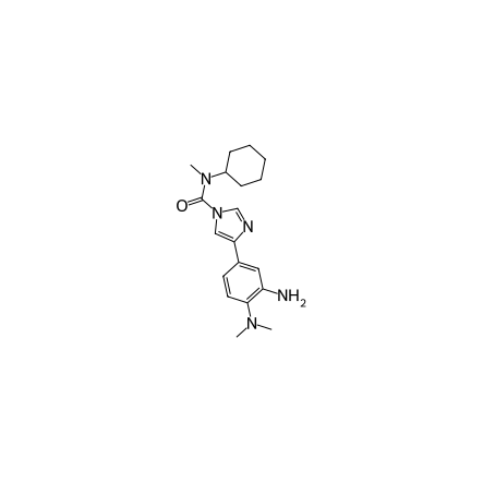 CN(C)c1ccc(-c2cn(C(=O)N(C)C3CCCCC3)cn2)cc1N